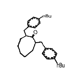 CCCCc1ccc(CC2CCCCCC(Cc3ccc(CCCC)cc3)C2=O)cc1